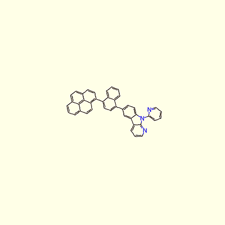 c1ccc(-n2c3ccc(-c4ccc(-c5ccc6ccc7cccc8ccc5c6c78)c5ccccc45)cc3c3cccnc32)nc1